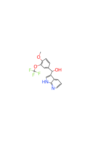 COc1ccc(C(O)c2c[nH]c3ncccc23)cc1OC(F)(F)F